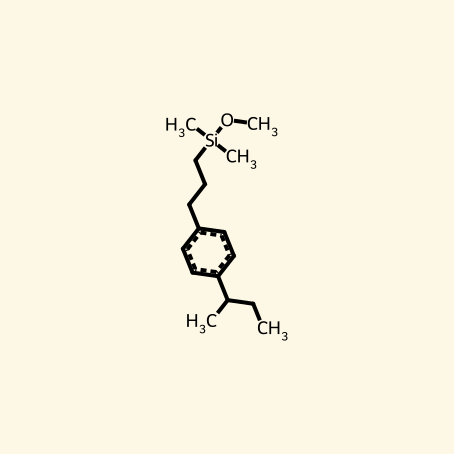 CCC(C)c1ccc(CCC[Si](C)(C)OC)cc1